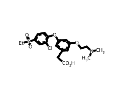 CCS(=O)(=O)c1ccc(Oc2cc(CC(=O)O)cc(OCCN(C)C)c2)c(Cl)c1